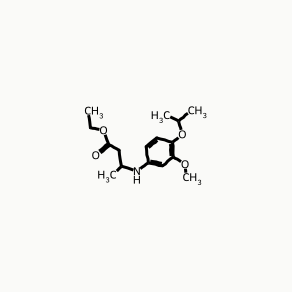 CCOC(=O)CC(C)Nc1ccc(OC(C)C)c(OC)c1